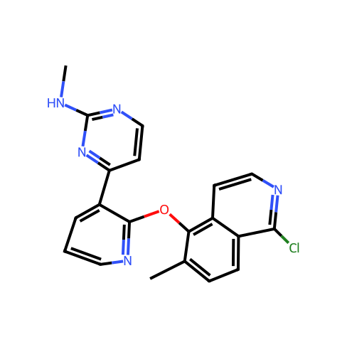 CNc1nccc(-c2cccnc2Oc2c(C)ccc3c(Cl)nccc23)n1